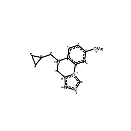 COc1ccc2c(n1)-n1cnnc1CN2CC1CC1